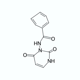 O=C(Nn1c(=O)cc[nH]c1=O)c1ccccc1